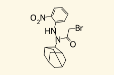 O=C(CBr)N(Nc1ccccc1[N+](=O)[O-])C1C2CC3CC(C2)CC1C3